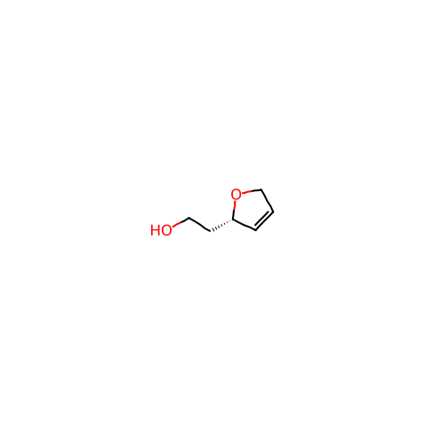 OCC[C@H]1C=CCO1